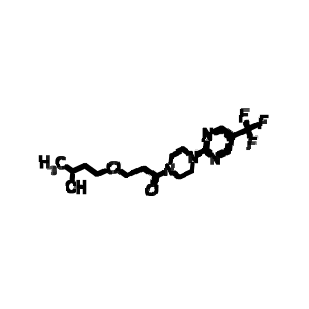 CC(O)CCOCCC(=O)N1CCN(c2ncc(C(F)(F)F)cn2)CC1